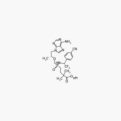 CCCOC(=O)C(C)(C)CCP(=O)(CO[C@H](C)Cn1cnc2c(N)ncnc21)N[C@H](c1ccc(C#N)cc1)C(F)(F)F